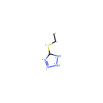 CCSC1N=NNN1